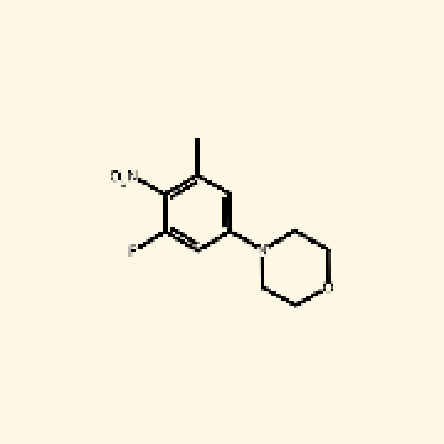 Cc1cc(N2CCOCC2)cc(F)c1[N+](=O)[O-]